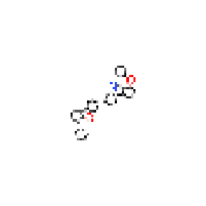 c1ccc(-c2cccc3c2oc2cc(-c4ccc5c(c4)nc4c6c(cccc65)Oc5ccccc5-4)ccc23)cc1